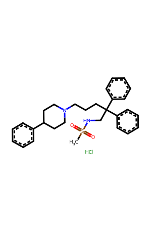 CS(=O)(=O)NCC(CCCN1CCC(c2ccccc2)CC1)(c1ccccc1)c1ccccc1.Cl